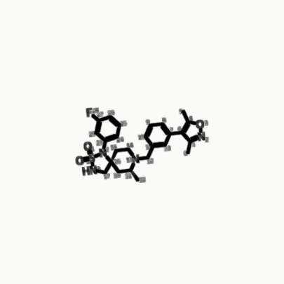 Cc1noc(C)c1-c1cccc(CN2CC[C@]3(CNS(=O)(=O)N3c3cccc(F)c3)C[C@@H]2C)c1